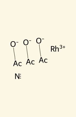 CC(=O)[O-].CC(=O)[O-].CC(=O)[O-].[N].[Rh+3]